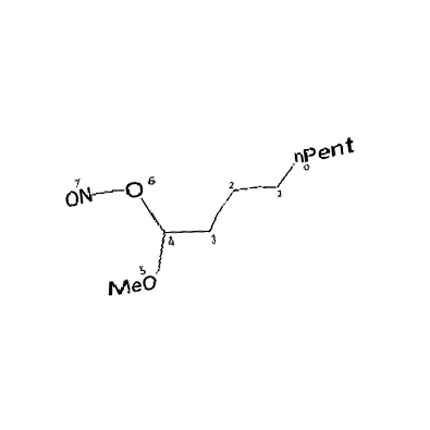 CCCCCCCCC(OC)ON=O